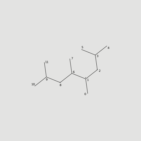 C[C](CC(C)C)C(C)CC(C)C